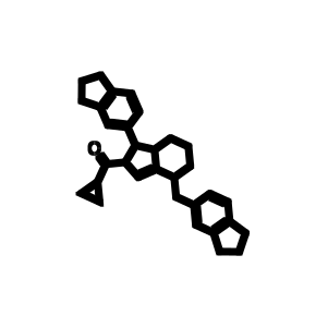 O=C(C1CC1)C1C=C2C(Cc3ccc4c(c3)CCC4)CCCC2C1c1ccc2c(c1)CCC2